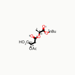 CCCCOC(=O)[C@H](C)OC(=O)C[C@H](OC(C)=O)C(=O)O